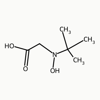 CC(C)(C)N(O)CC(=O)O